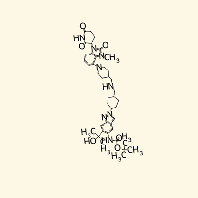 Cn1c(=O)n(C2CCC(=O)NC2=O)c2cccc(N3CCC(CNCC4CCC(n5cc6cc(NC(=O)OC(C)(C)C)c(C(C)(C)O)cc6n5)CC4)CC3)c21